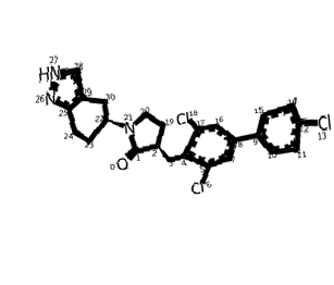 O=C1[C@H](Cc2c(Cl)cc(-c3ccc(Cl)cc3)cc2Cl)CCN1[C@H]1CCc2n[nH]cc2C1